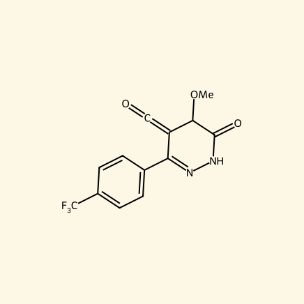 COC1C(=O)NN=C(c2ccc(C(F)(F)F)cc2)C1=C=O